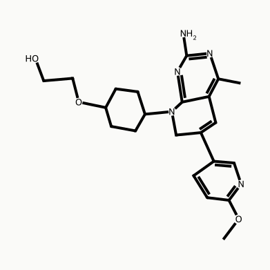 COc1ccc(C2=Cc3c(C)nc(N)nc3N(C3CCC(OCCO)CC3)C2)cn1